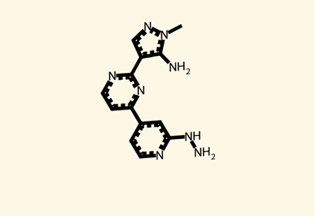 Cn1ncc(-c2nccc(-c3ccnc(NN)c3)n2)c1N